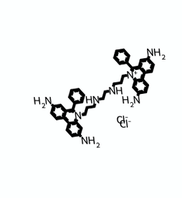 Nc1ccc2c(c1)c(-c1ccccc1)[n+](CCCNCCNCCC[n+]1c(-c3ccccc3)c3cc(N)ccc3c3ccc(N)cc31)c1cc(N)ccc21.[Cl-].[Cl-]